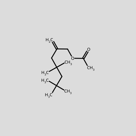 C=C(COC(C)=O)CC(C)(C)CC(C)(C)C